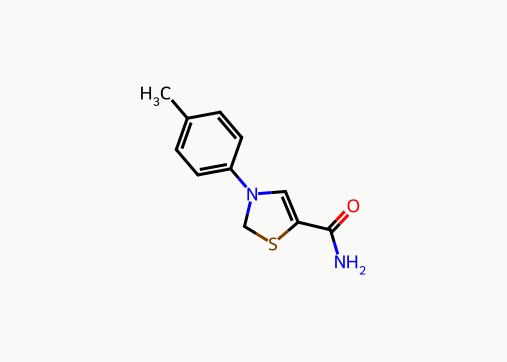 Cc1ccc(N2C=C(C(N)=O)SC2)cc1